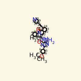 CC(C)Oc1ccc(-c2cnc(N)c(C(=O)N[C@H](C)c3cc4cccc(C#Cc5ccncc5)c4c(=O)n3-c3ccccc3)n2)cc1